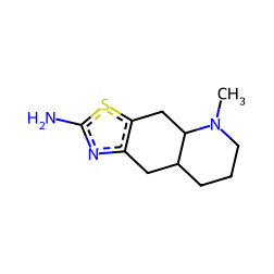 CN1CCCC2Cc3nc(N)sc3CC21